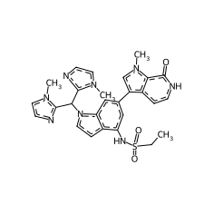 CCS(=O)(=O)Nc1cc(-c2cn(C)c3c(=O)[nH]ccc23)cc2c1ccn2C(c1nccn1C)c1nccn1C